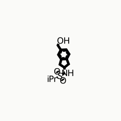 CC(C)S(=O)(=O)NC1Cc2ccc(CO)cc2C1